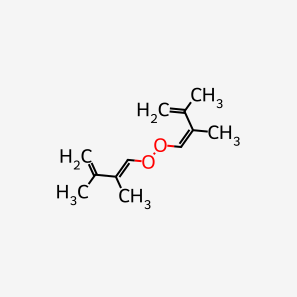 C=C(C)C(C)=COOC=C(C)C(=C)C